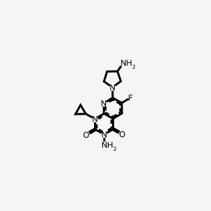 NC1CCN(c2nc3c(cc2F)c(=O)n(N)c(=O)n3C2CC2)C1